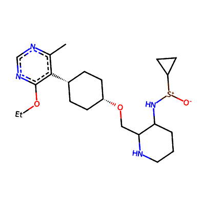 CCOc1ncnc(C)c1[C@H]1CC[C@@H](OCC2NCCCC2N[S+]([O-])C2CC2)CC1